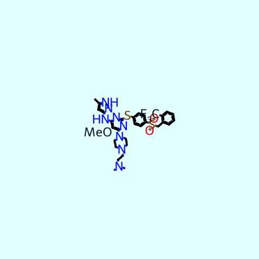 COc1c(Nc2cc(C)[nH]n2)nc(Sc2ccc(S(=O)(=O)Cc3ccccc3C(F)(F)F)cc2)nc1N1CCN(CCN(C)C)CC1